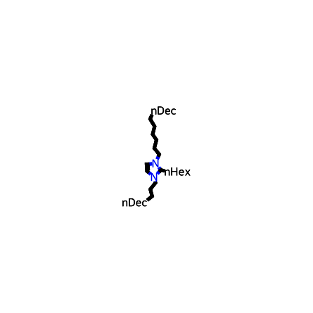 CCCCCCCCCCCCCCCCN1C=CN(CCCCCCCCCCCCC)C1CCCCCC